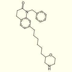 O=C1CCc2ccc(CCCCCCC3CNCCO3)cc2N1Cc1ccccc1